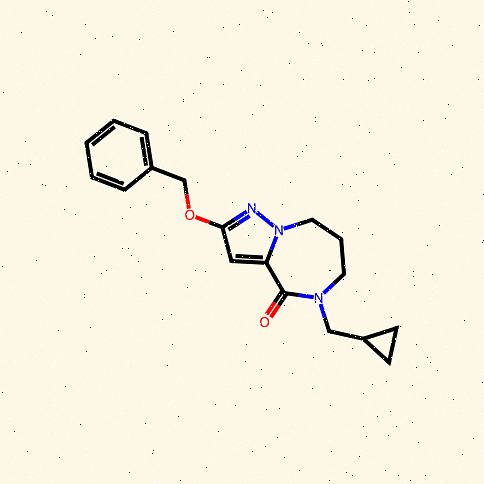 O=C1c2cc(OCc3ccccc3)nn2CCCN1CC1CC1